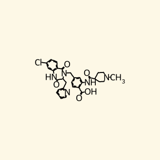 CN1CCC(C(=O)Nc2cc(CN3C(=O)c4ccc(Cl)cc4NC(=O)C3Cc3ccccn3)ccc2C(=O)O)CC1